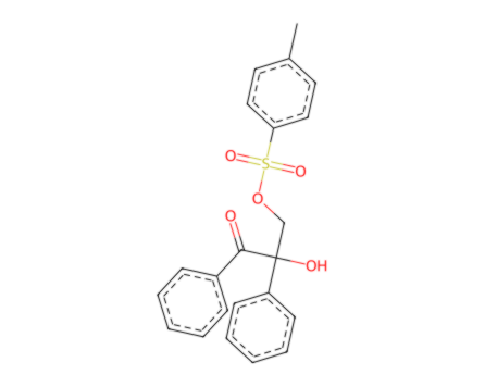 Cc1ccc(S(=O)(=O)OCC(O)(C(=O)c2ccccc2)c2ccccc2)cc1